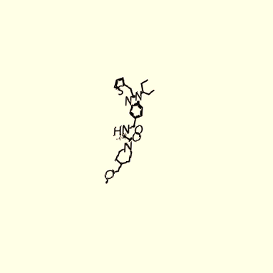 CCC(CC)n1c(Cc2cccs2)nc2cc(C(=O)N[C@@H](C)C(=O)N3CCC(COC)CC3)ccc21